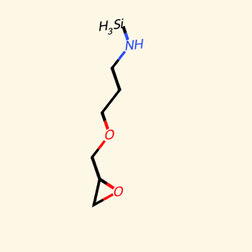 [SiH3]NCCCOCC1CO1